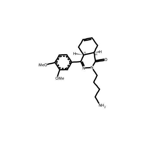 COc1ccc(C2=NN(CCCCN)C(=O)[C@@H]3CC=CC[C@H]23)cc1OC